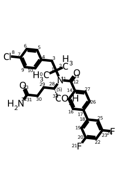 CC(C)(Cc1ccc(Cl)cc1)N(C(=O)c1ccc(-c2cc(F)cc(F)c2)cc1)[C@@H](CCC(N)=O)C(=O)O